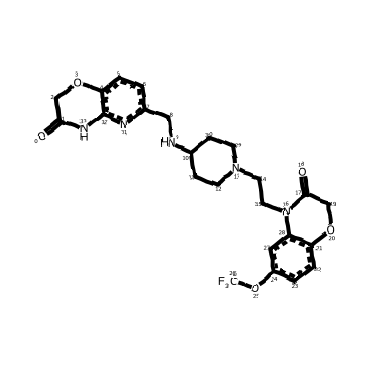 O=C1COc2ccc(CNC3CCN(CCN4C(=O)COc5ccc(OC(F)(F)F)cc54)CC3)nc2N1